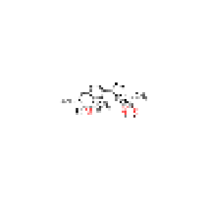 CC(=O)O[C@@H]1CC2=CC=C3C4CC[C@H](C(C)C5OCCO5)[C@@]4(C)CCC3[C@@]2(C)[C@H]2O[C@@H]12